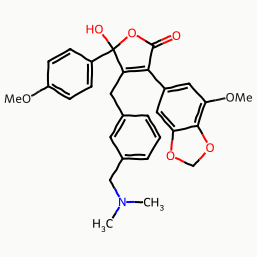 COc1ccc(C2(O)OC(=O)C(c3cc(OC)c4c(c3)OCO4)=C2Cc2cccc(CN(C)C)c2)cc1